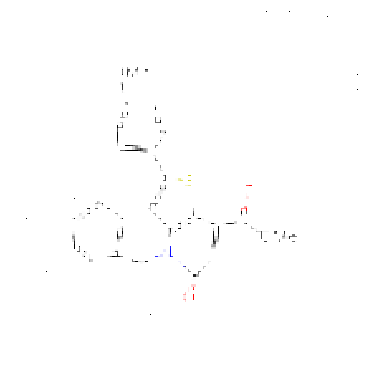 COC(=O)c1cc(=O)n(Cc2ccccc2)c2cc(-c3ccc(OC)cc3)sc12